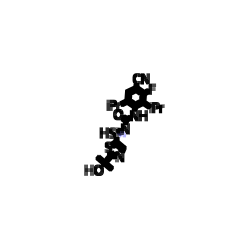 CC(C)c1cc(C#N)c(F)c(C(C)C)c1NC(=O)/N=[SiH]/c1cnc(C(C)(C)O)s1